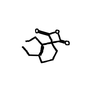 CCC1=C(CC)C2(CCC1)C(=O)OC2=O